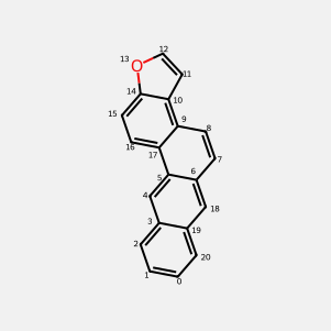 c1ccc2cc3c(ccc4c5ccoc5ccc34)cc2c1